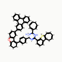 NC(N/C(=N\Cc1ccc(C2=c3c(oc4ccc(-c5ccc6c7ccccc7c7ccccc7c6c5)cc34)=CCC2)cc1)c1cccc2c3c(sc12)C=CC=CC3)C1=CC=CCC=C1